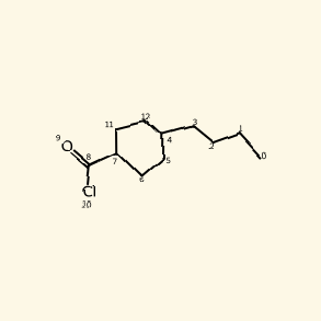 CCCCC1CCC(C(=O)Cl)CC1